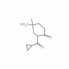 CC1(C(=O)O)CCC(=O)C(C(=O)C2CC2)C1